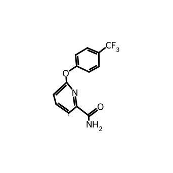 NC(=O)c1[c]ccc(Oc2ccc(C(F)(F)F)cc2)n1